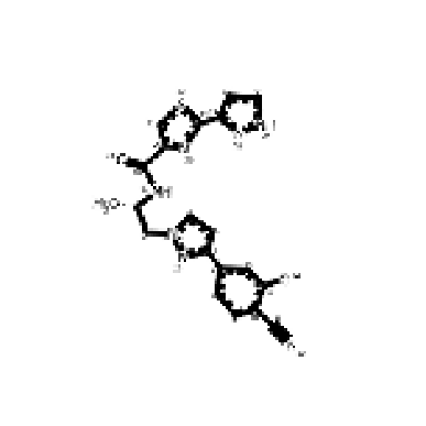 C[C@@H](Cn1ccc(-c2ccc(C#N)c(Cl)c2)n1)NC(=O)c1csc(-c2cc[nH]n2)n1